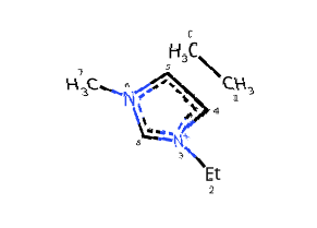 CC.CC[n+]1ccn(C)c1